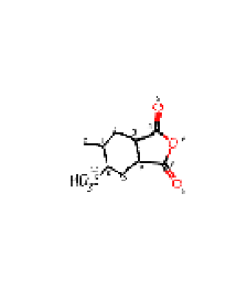 CC1CC2C(=O)OC(=O)C2CC1S(=O)(=O)O